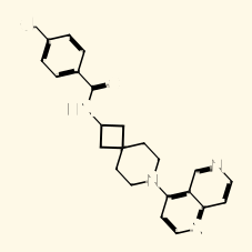 O=C(NC1CC2(CCN(c3ccnc4ccncc34)CC2)C1)c1ccc(Cl)cc1